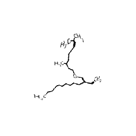 C=CC(CCCCCCCCC)COCCC(C)CCC=C(C)C